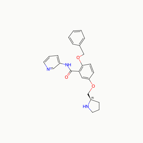 O=C(Nc1cccnc1)c1cc(OC[C@H]2CCCN2)ccc1OCc1ccccc1